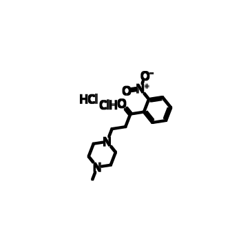 CN1CCN(CCC(=O)c2ccccc2[N+](=O)[O-])CC1.Cl.Cl